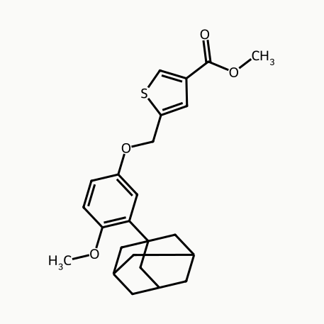 COC(=O)c1csc(COc2ccc(OC)c(C34CC5CC(CC(C5)C3)C4)c2)c1